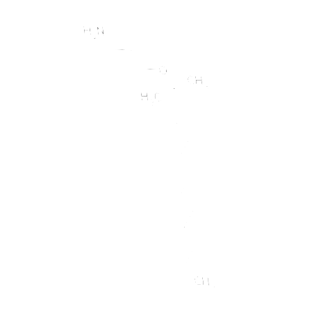 CCCCCCCCCCCC(C)(C)OCCCN